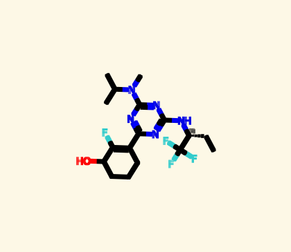 CC[C@@H](Nc1nc(C2=C(F)C(O)CCC2)nc(N(C)C(C)C)n1)C(F)(F)F